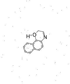 C1=Nc2ccc3ccccc3c2OC1.[H+]